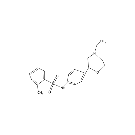 CCN1CCOC(c2ccc(NS(=O)(=O)c3ccccc3C)cc2)C1